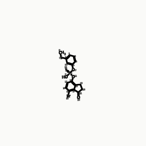 CSc1cccc(OP(O)(=S)Oc2ccc(Br)c3c2CCC3=O)c1